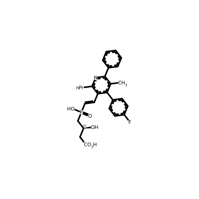 CCCc1nc(-c2ccccc2)c(C)c(-c2ccc(F)cc2)c1C=CP(=O)(O)C[C@@H](O)CC(=O)O